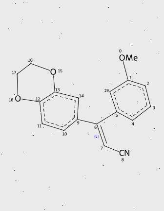 COc1cccc(/C(=C\C#N)c2ccc3c(c2)OCCO3)c1